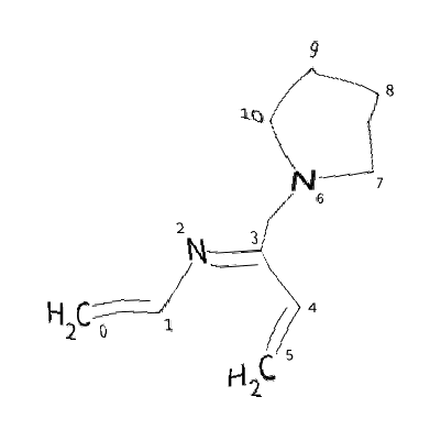 C=C/N=C(\C=C)N1CCCC1